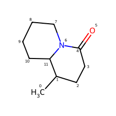 CC1CCC(=O)N2CCCCC12